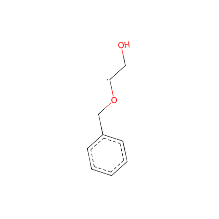 OC[CH]OCc1ccccc1